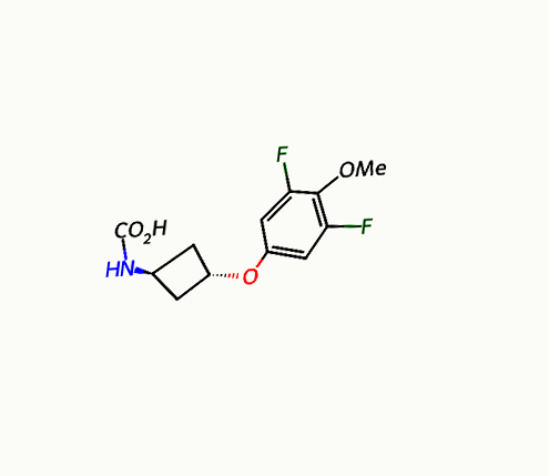 COc1c(F)cc(O[C@H]2C[C@H](NC(=O)O)C2)cc1F